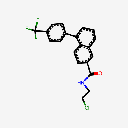 O=C(NCCCl)c1ccc2c(-c3ccc(C(F)(F)F)cc3)cccc2c1